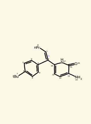 CCC/C=C(\c1ccc(C(C)(C)C)cc1)c1ccc(N)c(=O)[nH]1